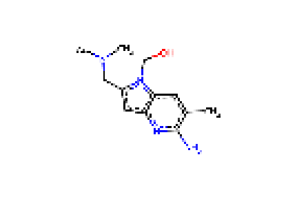 CC(=O)N(C)Cc1cc2nc(N)c(C)cc2n1CO